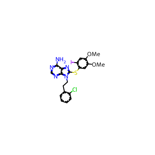 COc1cc(I)c(Sc2nc3c(N)ncnc3n2CCc2ccccc2Cl)cc1OC